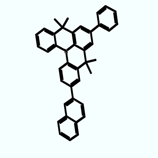 CC1(C)c2ccccc2N2c3ccc(-c4ccc5ccccc5c4)cc3C(C)(C)c3cc(-c4ccccc4)cc1c32